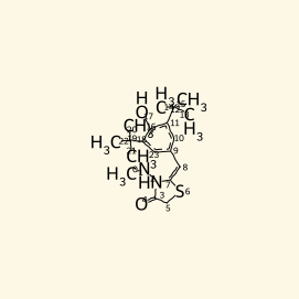 CNN1C(=O)CSC1=Cc1cc(C(C)(C)C)c(O)c(C(C)(C)C)c1